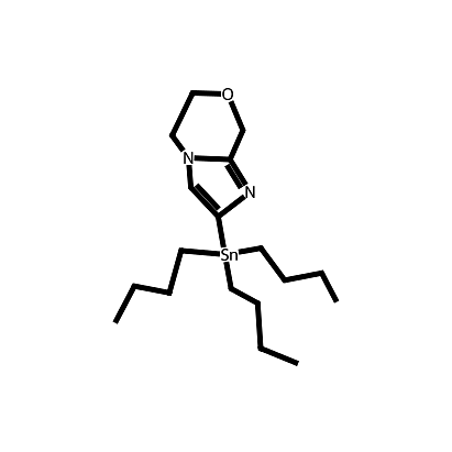 CCC[CH2][Sn]([CH2]CCC)([CH2]CCC)[c]1cn2c(n1)COCC2